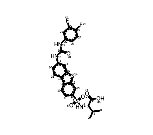 CC(C)[C@H](NS(=O)(=O)c1ccc2c(c1)sc1cc(NC(=O)Nc3ccc(F)c(F)c3)ccc12)C(=O)O